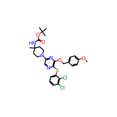 COc1ccc(COc2nc(N3CCC(C)(NC(=O)OC(C)(C)C)CC3)cnc2Sc2cccc(Cl)c2Cl)cc1